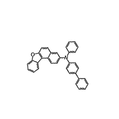 c1ccc(-c2ccc(N(c3ccccc3)c3ccc4c(ccc5oc6ccccc6c54)c3)cc2)cc1